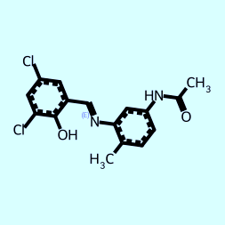 CC(=O)Nc1ccc(C)c(/N=C/c2cc(Cl)cc(Cl)c2O)c1